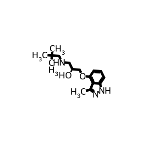 Cc1n[nH]c2cccc(OC[C@@H](O)CNCC(C)(C)C)c12